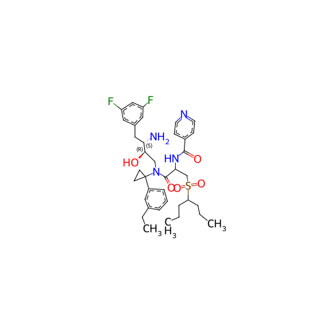 CCCC(CCC)S(=O)(=O)CC(NC(=O)c1ccncc1)C(=O)N(C[C@@H](O)[C@@H](N)Cc1cc(F)cc(F)c1)C1(c2cccc(CC)c2)CC1